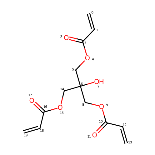 C=CC(=O)OCC(O)(COC(=O)C=C)COC(=O)C=C